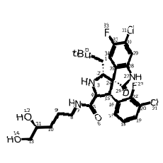 CC(C)(C)C[C@H]1NC(C(=O)NCCC[C@H](O)CO)[C@H](c2cccc(Cl)c2F)[C@@]12C(=O)Nc1cc(Cl)c(F)cc12